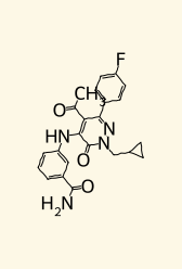 CC(=O)c1c(-c2ccc(F)cc2)nn(CC2CC2)c(=O)c1Nc1cccc(C(N)=O)c1